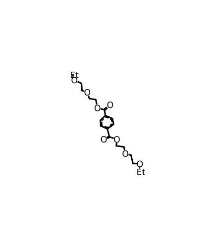 CCOCCOCCOC(=O)c1ccc(C(=O)OCCOCCOCC)cc1